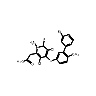 CCc1cccc(-c2cc(OC3=C(Cl)C(F)N(N)C(CC(=O)OC)=C3Cl)ccc2OC)c1